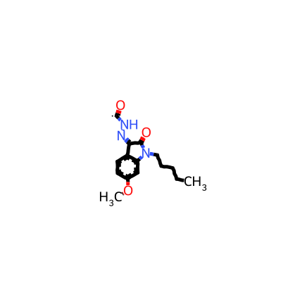 CCCCCN1C(=O)/C(=N\N[C]=O)c2ccc(OC)cc21